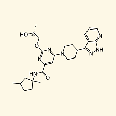 CC1CCC(C)(NC(=O)c2cc(N3CCC(c4n[nH]c5ncccc45)CC3)nc(OC[C@@H](C)O)n2)C1